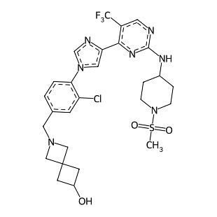 CS(=O)(=O)N1CCC(Nc2ncc(C(F)(F)F)c(-c3cn(-c4ccc(CN5CC6(CC(O)C6)C5)cc4Cl)cn3)n2)CC1